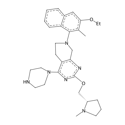 CCOc1cc2ccccc2c(N2CCc3c(nc(OC[C@@H]4CCCN4C)nc3N3CCNCC3)C2)c1C